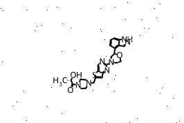 C[C@H](O)C(=O)N1CCN(Cc2cc3nc(N4CCOC(c5cccc6[nH]ncc56)C4)ncc3s2)CC1